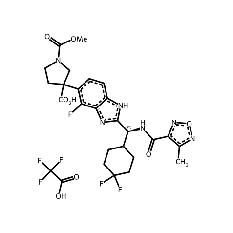 COC(=O)N1CCC(C(=O)O)(c2ccc3[nH]c([C@@H](NC(=O)c4nonc4C)C4CCC(F)(F)CC4)nc3c2F)C1.O=C(O)C(F)(F)F